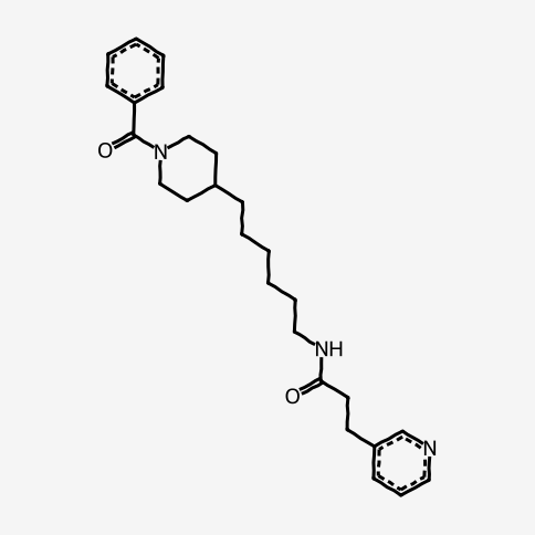 O=C(CCc1cccnc1)NCCCCCCC1CCN(C(=O)c2ccccc2)CC1